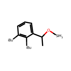 CCC(C)c1cccc(C(C)O[SiH3])c1C(C)CC